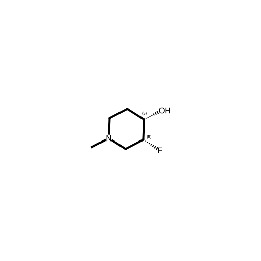 CN1CC[C@H](O)[C@H](F)C1